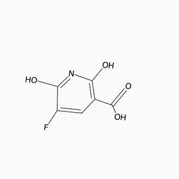 O=C(O)c1cc(F)c(O)nc1O